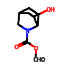 O=COC(=O)N1CC2CCC1C(O)C2